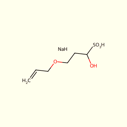 C=CCOCCC(O)S(=O)(=O)O.[NaH]